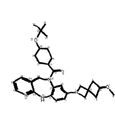 COC1CC2(C1)CN(c1ccc3c(c1)N(C(=O)C1CCC(OC(C)(C)C)CC1)Cc1cccnc1N3)C2